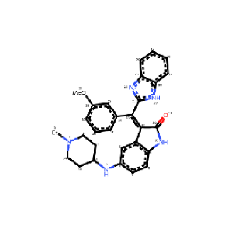 CCN1CCC(Nc2ccc3c(c2)C(=C(c2cccc(OC)c2)c2nc4ccccc4[nH]2)C(=O)N3)CC1